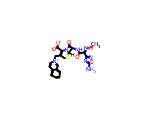 CON=C(C(=O)NC1C(=O)N2C(C(=O)[O-])=C(C[n+]3ccc4ccccc4c3)CS[C@@H]12)c1noc(N)n1